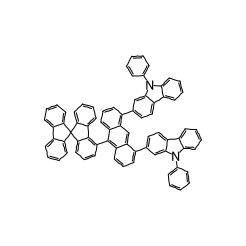 c1ccc(-n2c3ccccc3c3ccc(-c4cccc5c(-c6cccc7c6-c6ccccc6C76c7ccccc7-c7ccccc76)c6cccc(-c7ccc8c9ccccc9n(-c9ccccc9)c8c7)c6cc45)cc32)cc1